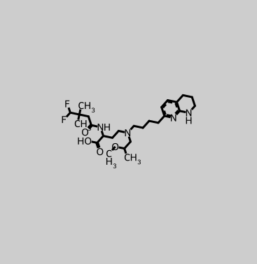 COC(C)CN(CCCCc1ccc2c(n1)NCCC2)CCC(NC(=O)CC(C)(C)C(F)F)C(=O)O